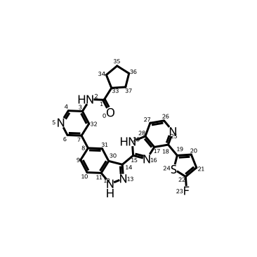 O=C(Nc1cncc(-c2ccc3[nH]nc(-c4nc5c(-c6ccc(F)s6)nccc5[nH]4)c3c2)c1)C1CCCC1